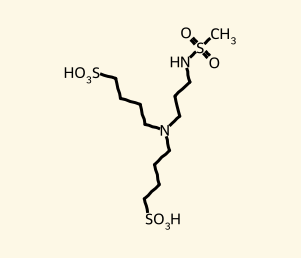 CS(=O)(=O)NCCCN(CCCCS(=O)(=O)O)CCCCS(=O)(=O)O